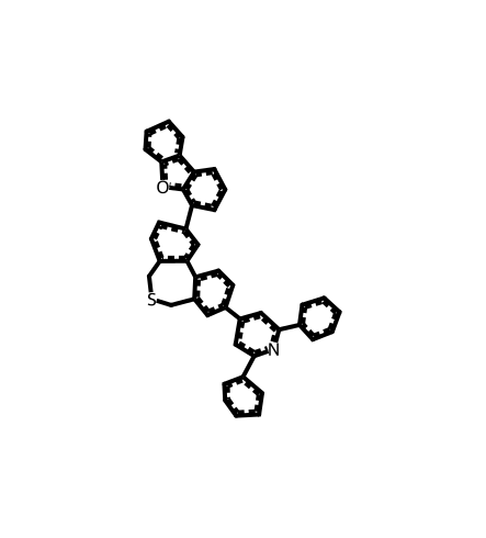 c1ccc(-c2cc(-c3ccc4c(c3)CSCc3ccc(-c5cccc6c5oc5ccccc56)cc3-4)cc(-c3ccccc3)n2)cc1